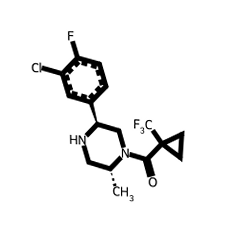 C[C@@H]1CN[C@@H](c2ccc(F)c(Cl)c2)CN1C(=O)C1(C(F)(F)F)CC1